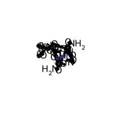 CCc1nc(C)oc1C(=O)/N=c1\sc2cc(C(N)=O)cc(OC)c2n1C/C=C/Cn1c(NC(=O)c2oc(C)nc2CC)nc2cc(C(N)=O)cc(OCCCC(=O)O[C@@H](C)CNC(=O)[C@H](CCC(=O)OC(C)(C)C)NC(=O)OC(C)(C)C)c21